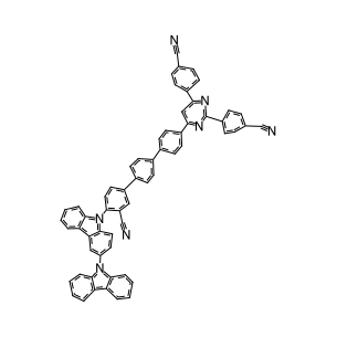 N#Cc1ccc(-c2cc(-c3ccc(-c4ccc(-c5ccc(-n6c7ccccc7c7cc(-n8c9ccccc9c9ccccc98)ccc76)c(C#N)c5)cc4)cc3)nc(-c3ccc(C#N)cc3)n2)cc1